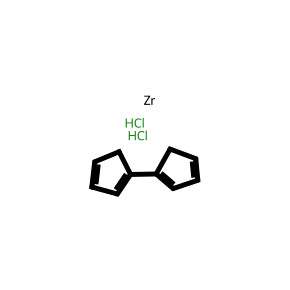 C1=CCC(C2=CC=CC2)=C1.Cl.Cl.[Zr]